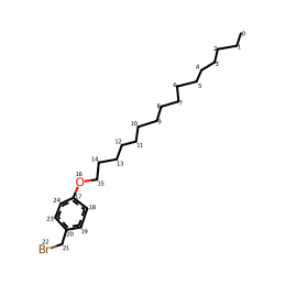 CCCCCCCCCCCCCCCCOc1ccc(CBr)cc1